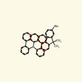 CC(C)(C)c1ccc2c(c1)C(C)(C)c1cccc(-c3ccccc3N(c3ccccc3-c3ccccc3)c3ccccc3-c3ccccc3)c1-2